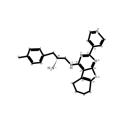 Cc1ccc(C[C@@H](N)CNc2nc(-c3ccncc3)nc3sc4c(c23)CCCC4)cc1